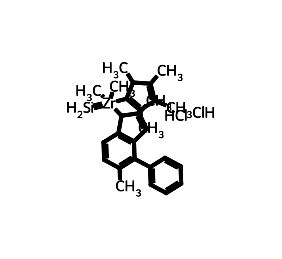 CC1=Cc2c(ccc(C)c2-c2ccccc2)[CH]1[Zr]([CH3])([CH3])(=[SiH2])[C]1=C(C)C(C)=C(C)C1C.Cl.Cl